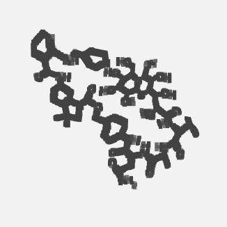 CC(NC(=O)C(NC(=O)[C@H](O)[C@H](O)[C@@H](O[C@@H]1O[C@H](CO)[C@H](O)[C@H](O)[C@H]1O)[C@H](O)CO)C(C)C)C(=O)NC(CC(N)=O)C(=O)Nc1ccc(COC(=O)N2CC(C)(C)c3ccc(NC(=O)c4cccnc4NCc4ccncc4)cc32)cc1